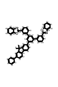 CC1(C)c2cc(-c3ccccc3)ccc2-c2ccc(-c3cc(-c4cccc(-c5nc6ccccc6o5)c4)cc(-c4cccc(-c5nc6ccccc6o5)c4)c3)cc21